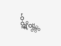 Nc1ccc(-c2ccc(F)cc2)cc1NC(=O)c1ccc(NC(=O)C2(N3CCCC3=O)CCC2)cc1